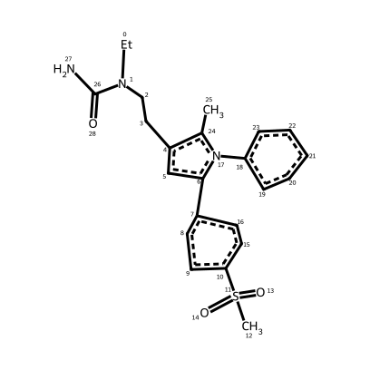 CCN(CCc1cc(-c2ccc(S(C)(=O)=O)cc2)n(-c2ccccc2)c1C)C(N)=O